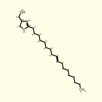 CCCCCCCCC=CCCCCCCCCC1=NC(CO)CO1